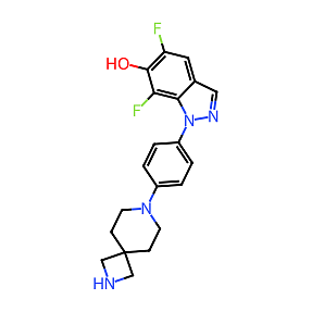 Oc1c(F)cc2cnn(-c3ccc(N4CCC5(CC4)CNC5)cc3)c2c1F